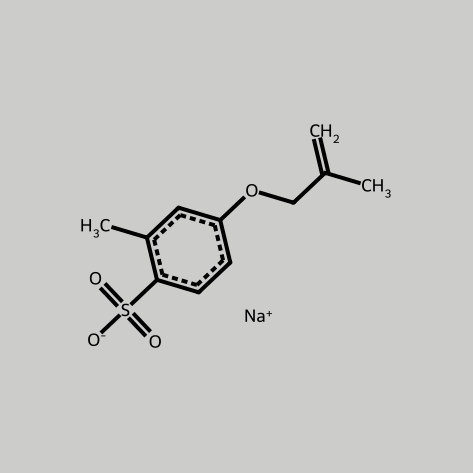 C=C(C)COc1ccc(S(=O)(=O)[O-])c(C)c1.[Na+]